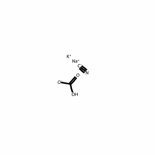 O=C([O-])O.[C-]#N.[K+].[Na+]